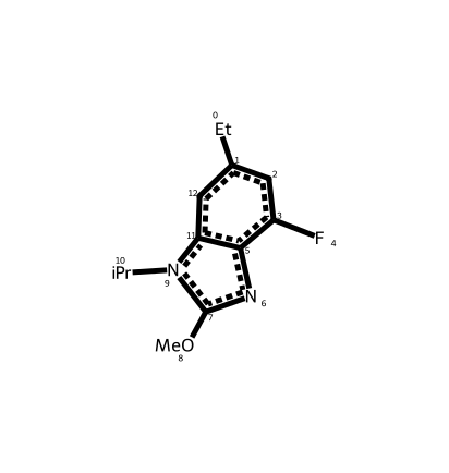 CCc1cc(F)c2nc(OC)n(C(C)C)c2c1